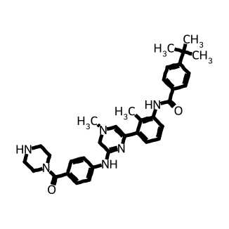 Cc1c(NC(=O)c2ccc(C(C)(C)C)cc2)cccc1C1=CN(C)CC(Nc2ccc(C(=O)N3CCNCC3)cc2)=N1